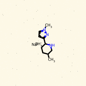 CC1CCC(c2ccn(C)n2)NC1.[BH4-].[Na+]